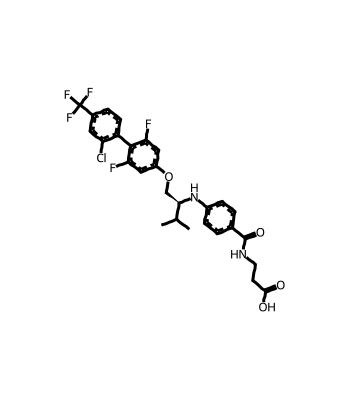 CC(C)[C@@H](COc1cc(F)c(-c2ccc(C(F)(F)F)cc2Cl)c(F)c1)Nc1ccc(C(=O)NCCC(=O)O)cc1